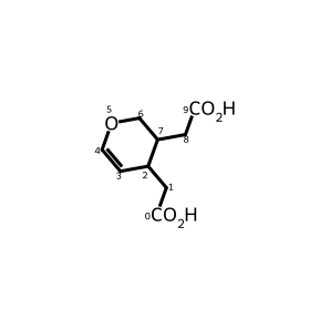 O=C(O)CC1C=COCC1CC(=O)O